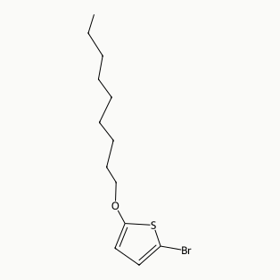 CCCCCCCCCOc1ccc(Br)s1